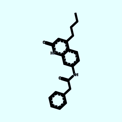 CCCCc1cc(=O)[nH]c2cc(NC(=O)Cc3ccccc3)ccc12